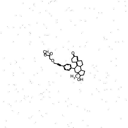 COC(=O)COCC#Cc1ccc(C2C[C@]3(C)C(O)CCC3C3CCC4=CC(=O)CCC4=C23)cc1